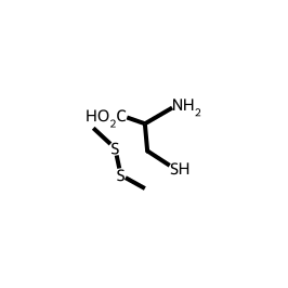 CSSC.NC(CS)C(=O)O